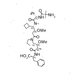 CO[C@H]([C@@H](C)C(=O)N[C@@H](Cc1ccccc1)C(=O)O)[C@@H]1CCCN1C(=O)C[C@@H](OC)[C@H](C1CCC1)N(C)C(=O)[C@@H](NC(=O)C(C)(C)N)C(C)C